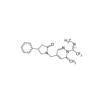 C=C1C=C(CN2CC(c3ccccc3)CC2=O)C=NN1/C(=N\C)C(F)(F)F